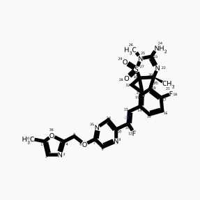 Cc1cnc(COc2cnc(/C(F)=C/c3ccc(F)c([C@@]4(C)N=C(N)N(C)S(=O)(=O)C45CC5)c3)cn2)o1